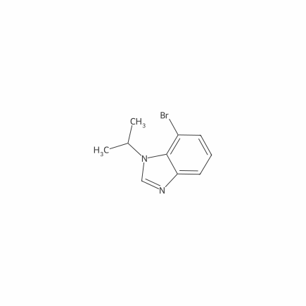 CC(C)n1cnc2cccc(Br)c21